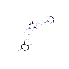 Cc1cc(=O)n(NCC(F)(F)c2ccccn2)c(=O)n1CC(=O)NCc1cc(Cl)ccc1CN